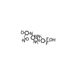 COc1ccc(N(C)c2ccc3nc(C)nc(N[C@H](C)c4cccc(C(F)(F)CO)c4)c3c2)cc1CC(=O)N(C)C